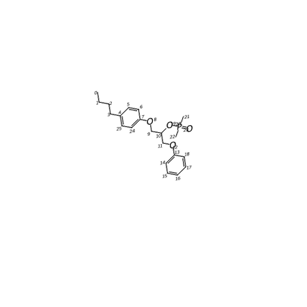 CCCCc1ccc(OCC(COc2ccccc2)OP(C)(C)=O)cc1